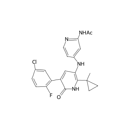 CC(=O)Nc1cc(Nc2cc(-c3cc(Cl)ccc3F)c(=O)[nH]c2C2(C)CC2)ccn1